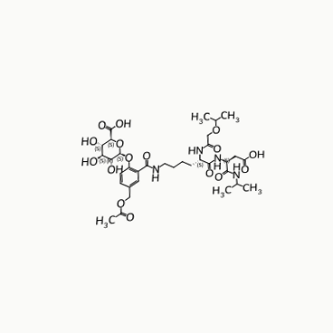 CC(=O)OCc1ccc(O[C@@H]2O[C@H](C(=O)O)[C@@H](O)[C@H](O)[C@H]2O)c(C(=O)NCCCC[C@H](NC(=O)COC(C)C)C(=O)N[C@@H](CC(=O)O)C(=O)NC(C)C)c1